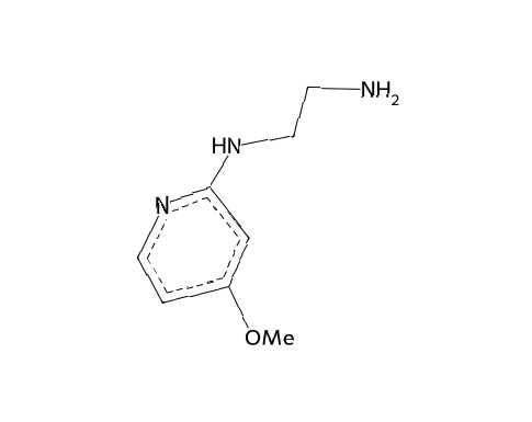 COc1ccnc(NCCN)c1